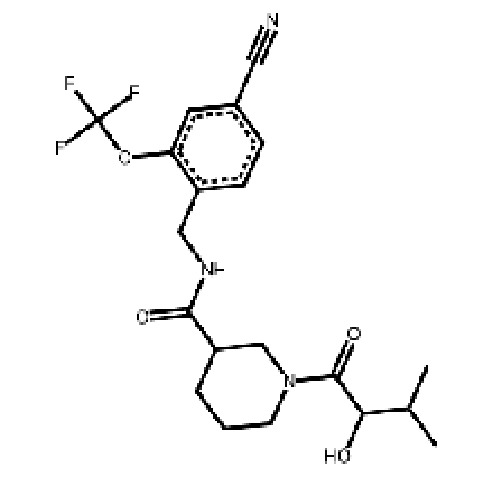 CC(C)C(O)C(=O)N1CCCC(C(=O)NCc2ccc(C#N)cc2OC(F)(F)F)C1